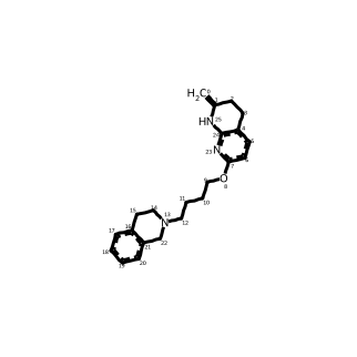 C=C1CCc2ccc(OCCCCN3CCc4ccccc4C3)nc2N1